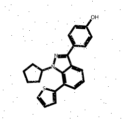 Oc1ccc(-c2nn(C3CCCC3)c3c(-c4cccs4)cccc23)cc1